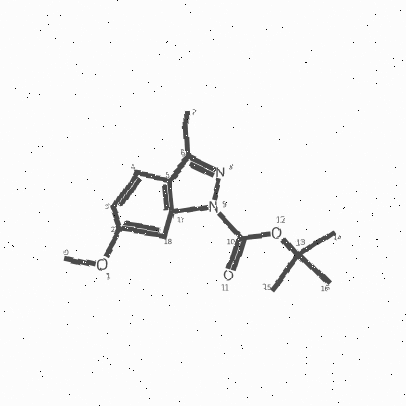 COc1ccc2c(C)nn(C(=O)OC(C)(C)C)c2c1